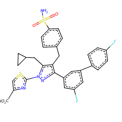 NS(=O)(=O)c1ccc(Cc2c(-c3cc(F)cc(-c4ccc(F)cc4)c3)nn(-c3nc(C(=O)O)cs3)c2CC2CC2)cc1